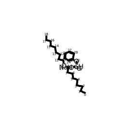 CCCCCCCCCOCCCCCCCCC.O=[SH](=O)Oc1ccccc1.[NaH]